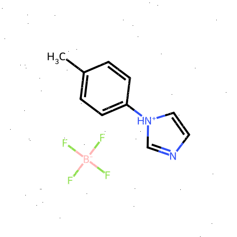 Cc1ccc([NH+]2C=CN=C2)cc1.F[B-](F)(F)F